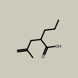 C=C(C)CC(CCC)C(=O)O